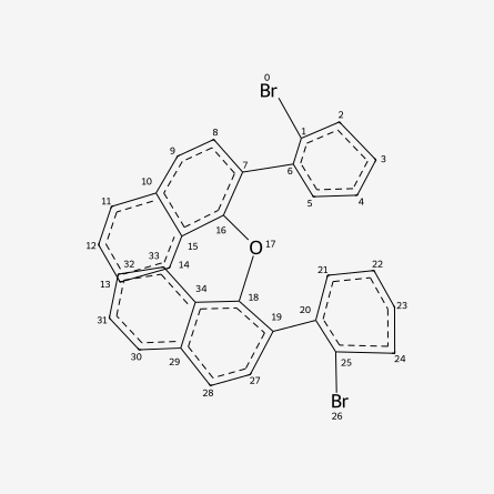 Brc1ccccc1-c1ccc2ccccc2c1Oc1c(-c2ccccc2Br)ccc2ccccc12